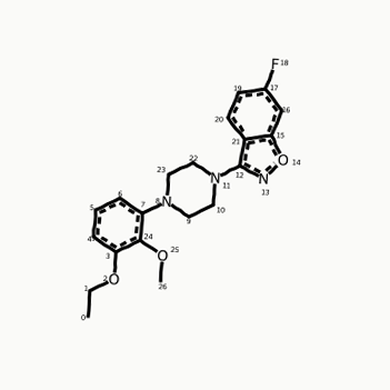 CCOc1[c]ccc(N2CCN(c3noc4cc(F)ccc34)CC2)c1OC